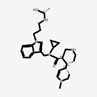 C[C@@H](O)NCCCn1cc(CN(C(=O)[C@H]2CNCC[C@@H]2[C@H]2C=CN(C)CC2)C2CC2)c2ccccc21